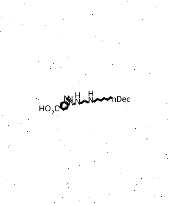 CCCCCCCCCCCCCCCCNCCCNCn1nnc2cc(C(=O)O)ccc21